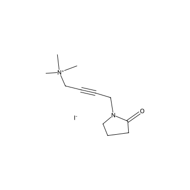 C[N+](C)(C)CC#CCN1CCCC1=O.[I-]